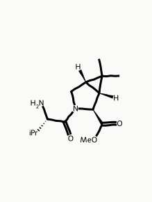 COC(=O)[C@@H]1[C@@H]2[C@H](CN1C(=O)[C@@H](N)C(C)C)C2(C)C